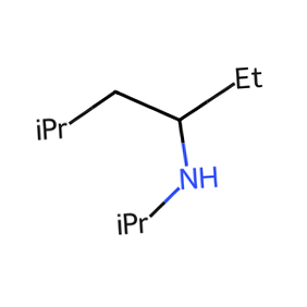 CCC(CC(C)C)NC(C)C